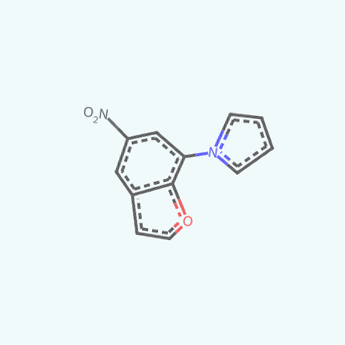 O=[N+]([O-])c1cc(-n2cccc2)c2occc2c1